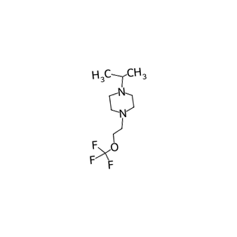 CC(C)N1CCN(CCOC(F)(F)F)CC1